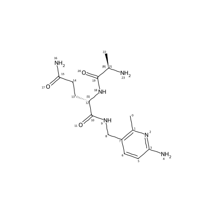 Cc1nc(N)ccc1CNC(=O)[C@H](CCC(N)=O)NC(=O)[C@@H](C)N